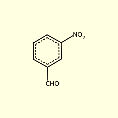 O=[C]c1cccc([N+](=O)[O-])c1